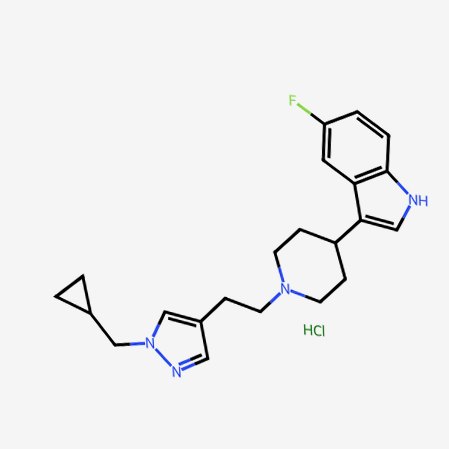 Cl.Fc1ccc2[nH]cc(C3CCN(CCc4cnn(CC5CC5)c4)CC3)c2c1